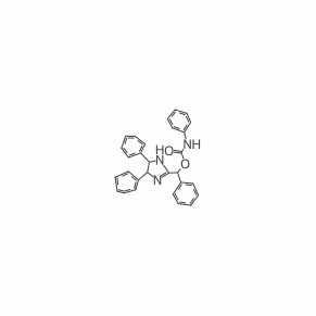 O=C(Nc1ccccc1)OC(C1=NC(c2ccccc2)C(c2ccccc2)N1)c1ccccc1